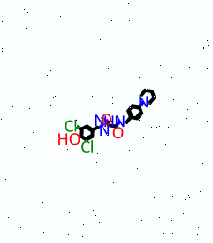 O=C(NCc1ccc(N2CCCCC2)cc1)c1nc(-c2cc(Cl)c(O)c(Cl)c2)no1